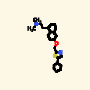 CN(C)CCc1cccc2cc(OCc3ncc(-c4ccccc4)s3)ccc12